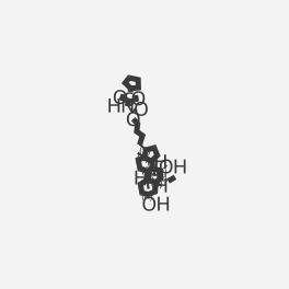 CC[C@H]1[C@@H](O)[C@@H]2[C@H](CC[C@]3(C)[C@@H](CCCCOC(=O)NS(=O)(=O)C4CCCC4)CC[C@@H]23)[C@@]2(C)CC[C@@H](O)C[C@@H]12